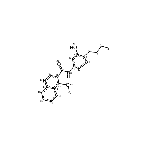 CCCCc1ccc(NC(=O)c2cnc3ccccc3c2OC)cc1O